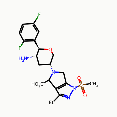 CCc1nn(S(C)(=O)=O)c2c1C(C(=O)O)N([C@H]1CO[C@H](c3cc(F)ccc3F)[C@@H](N)C1)C2